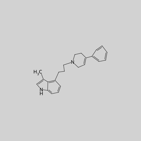 Cc1c[nH]c2cccc(CCCN3CC=C(c4ccccc4)CC3)c12